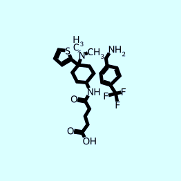 CN(C)C1(c2cccs2)CCC(NC(=O)CCCC(=O)O)CC1.NCc1ccc(C(F)(F)F)cc1